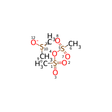 CS(=O)(=O)OS(C)(=O)=O.C[S+](C)[O-]